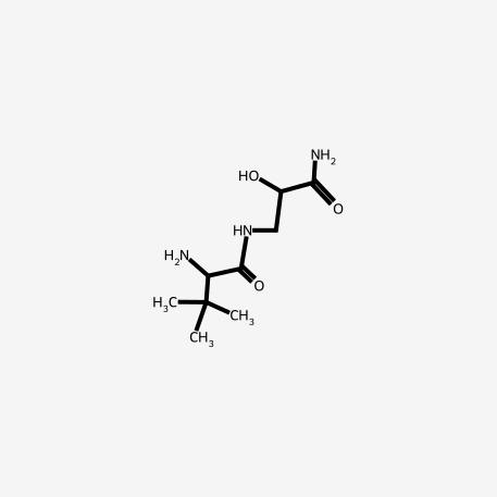 CC(C)(C)C(N)C(=O)NCC(O)C(N)=O